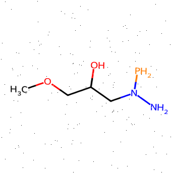 COCC(O)CN(N)P